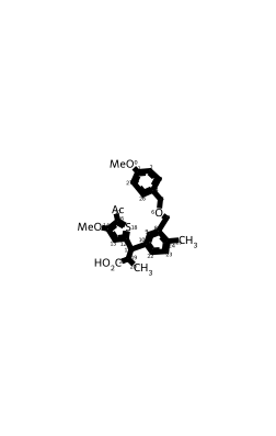 COc1ccc(COCc2cc(C(c3cc(OC)c(C(C)=O)s3)C(C)C(=O)O)ccc2C)cc1